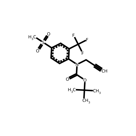 C#CCN(C(=O)OC(C)(C)C)c1ccc(S(C)(=O)=O)cc1C(F)(F)F